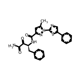 Cc1cc(C(=O)N[C@@H](Cc2ccccc2)C(=O)C(N)=O)nn1-c1ncc(-c2ccccc2)s1